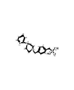 O=P(O)(O)Cc1ccc(CN2CCN(c3ccccn3)CC2)cc1